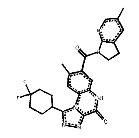 Cc1cnc2c(c1)CCN2C(=O)c1cc2[nH]c(=O)c3nnc(C4CCC(F)(F)CC4)n3c2cc1C